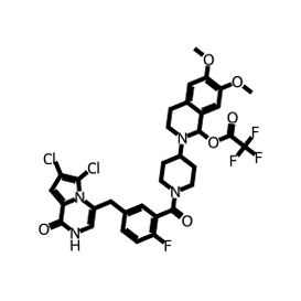 COc1cc2c(cc1OC)C(OC(=O)C(F)(F)F)N(C1CCN(C(=O)c3cc(Cc4c[nH]c(=O)c5cc(Cl)c(Cl)n45)ccc3F)CC1)CC2